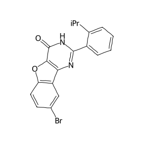 CC(C)c1ccccc1-c1nc2c(oc3ccc(Br)cc32)c(=O)[nH]1